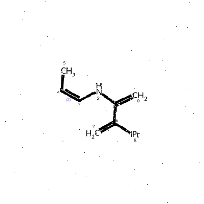 C=C(N/C=C\C)C(=C)C(C)C